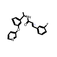 CC(NC(=O)/C=C/c1cccc(F)c1)c1cccc(Oc2cccnc2)c1